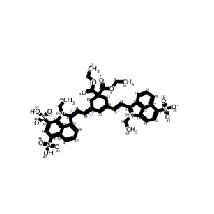 CCOC(=O)C1(C(=O)OCC)CC(/C=C/C2=[N+](CC)c3ccc(S(=O)(=O)[O-])c4cccc2c34)=CC(=C/C=c2\c3cccc4c(S(=O)(=O)O)cc(S(=O)(=O)O)c(c43)n2CC)/C1